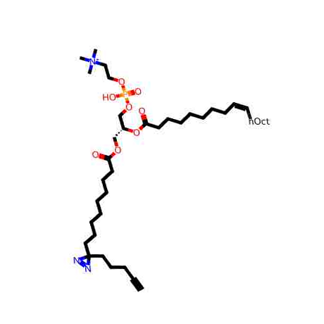 C#CCCCC1(CCCCCCCCC(=O)OC[C@H](COP(=O)(O)OCC[N+](C)(C)C)OC(=O)CCCCCCC/C=C\CCCCCCCC)N=N1